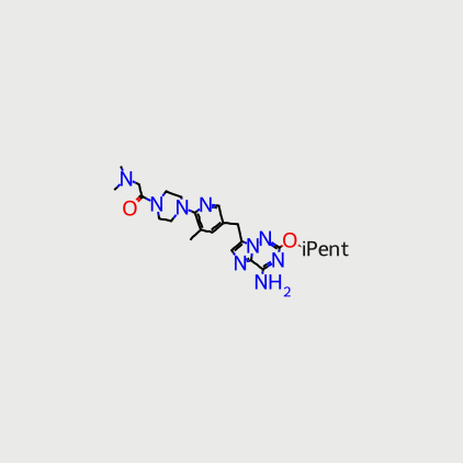 CCC[C@@H](C)Oc1nc(N)c2ncc(Cc3cnc(N4CCN(C(=O)CN(C)C)CC4)c(C)c3)n2n1